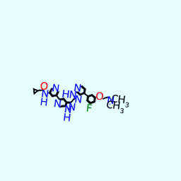 CN(C)CCOc1cc(F)cc(-c2ccnc3[nH]c(-c4n[nH]c5cnc(-c6cncc(NC(=O)C7CC7)c6)cc45)nc23)c1